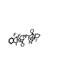 CC(c1ccccc1C(F)(F)F)N1C(=O)C2CC1CN2CC(N)C(=O)N1CCCC1C#N